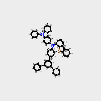 c1ccc(-c2cc(-c3ccccc3)cc(-c3ccc(N(c4ccc5c(c4)c4ccccc4n5-c4ccccc4)c4cccc5c4sc4ccccc45)cc3)c2)cc1